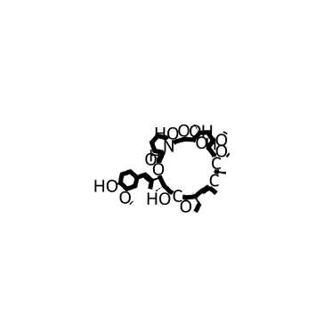 CC[C@@H]1/C=C(\C)C[C@H](C)C[C@H](OC)[C@H]2O[C@@](O)(C(=O)[C@H](O)N3CCCC[C@H]3C(=O)O[C@H](/C(C)=C/C3CC[C@@H](O)[C@H](OC)C3)[C@@H](C)[C@@H](O)CC1=O)[C@H](C)C[C@@H]2OC